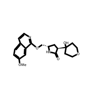 COc1ccc2ccnc(OC[C@@H]3C[C@@H](C4(O)CCOCC4)C(=O)N3)c2c1